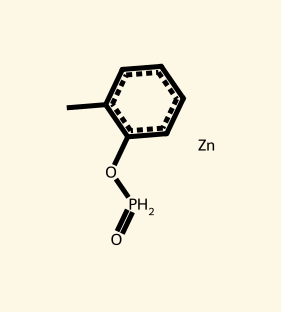 Cc1ccccc1O[PH2]=O.[Zn]